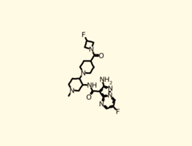 CN1CCC(N2CCC(C(=O)N3CC(F)C3)CC2)C(NC(=O)c2c(N)nn3cc(F)cnc23)C1